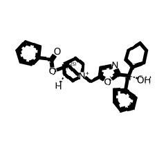 O=C(O[C@@H]1C[N+]2(Cc3cnc([C@](O)(c4ccccc4)C4CCCCC4)o3)CCC1CC2)c1ccccc1